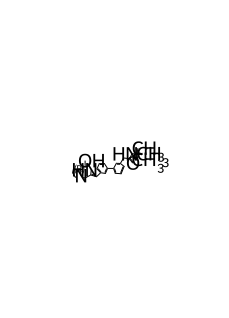 CC(C)(C)NC(=O)Cc1cccc(-c2ccc3[nH]c(CN4CCC[C@@H]4CO)cc3c2)c1